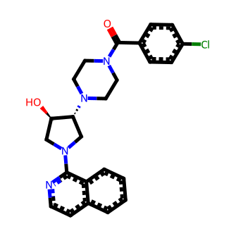 O=C(c1ccc(Cl)cc1)N1CCN([C@@H]2CN(c3nccc4ccccc34)C[C@H]2O)CC1